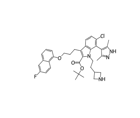 Cc1n[nH]c(C)c1-c1c(Cl)ccc2c(CCCOc3cccc4cc(F)ccc34)c(C(=O)OC(C)(C)C)n(CCC3CNC3)c12